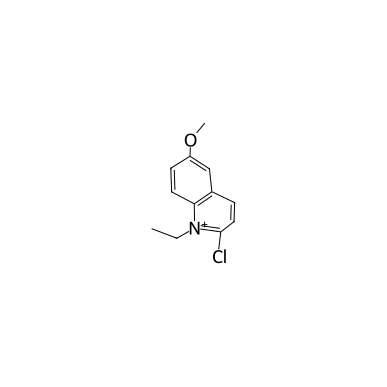 CC[n+]1c(Cl)ccc2cc(OC)ccc21